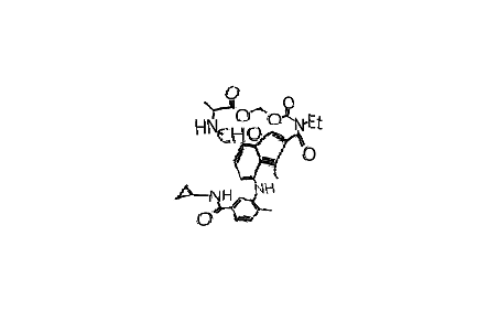 CCN(C(=O)OCOC(=O)C(C)NC=O)C(=O)C1=CC2C=CC=C(Nc3cc(C(=O)NC4CC4)ccc3C)C2=C1C